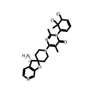 Cc1c(N2CCC3(CC2)Oc2cnccc2[C@@H]3N)nc(C)n(C2=CC=CC(Cl)C2(C)Cl)c1=O